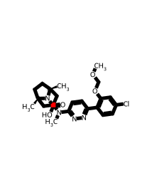 COCOc1cc(Cl)ccc1-c1ccc(N(C)C2C[C@]3(C)CC[C@](C)(C2)N3C(=O)O)nn1